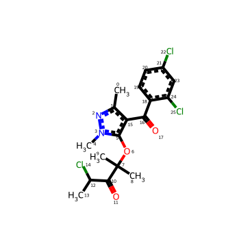 Cc1nn(C)c(OC(C)(C)C(=O)C(C)Cl)c1C(=O)c1ccc(Cl)cc1Cl